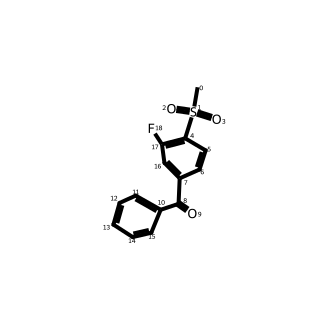 CS(=O)(=O)c1ccc(C(=O)c2ccccc2)cc1F